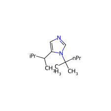 CCCC(C)(C)n1cncc1C(C)C(C)C